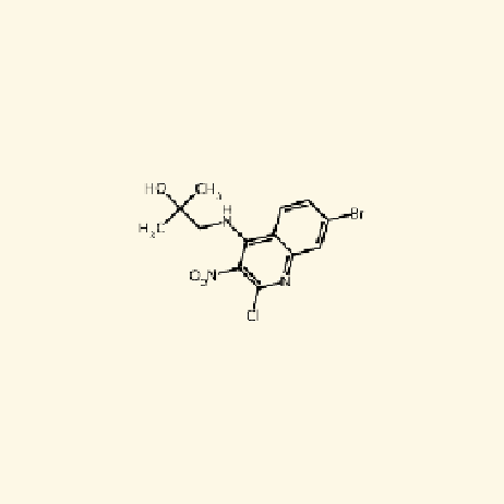 CC(C)(O)CNc1c([N+](=O)[O-])c(Cl)nc2cc(Br)ccc12